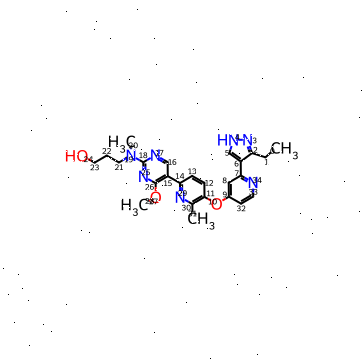 CCc1n[nH]cc1-c1cc(Oc2ccc(-c3cnc(N(C)CCCO)nc3OC)nc2C)ccn1